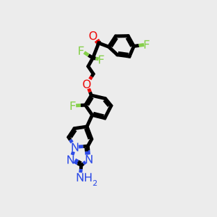 Nc1nc2cc(-c3cccc(OCCC(F)(F)C(=O)c4ccc(F)cc4)c3F)ccn2n1